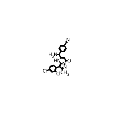 Cc1nn2c(=O)cc(C(N)c3ccc(C#N)cc3)[nH]c2c1-c1ccc(Cl)cc1Cl